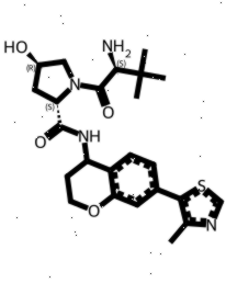 Cc1ncsc1-c1ccc2c(c1)OCCC2NC(=O)[C@@H]1C[C@@H](O)CN1C(=O)[C@@H](N)C(C)(C)C